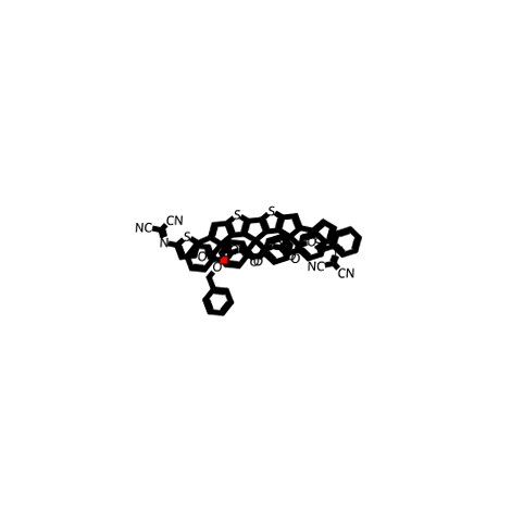 N#CC(C#N)=Nc1ccc(C2=Cc3sc4c(c3C2(C(=O)OCc2ccccc2)C(=O)OCc2ccccc2)C(C(=O)OCc2ccccc2)(C(=O)OCc2ccccc2)c2c-4sc3c2C(C(=O)OCc2ccccc2)(C(=O)OCc2ccccc2)C(c2ccc(N=C(C#N)C#N)s2)=C3)s1